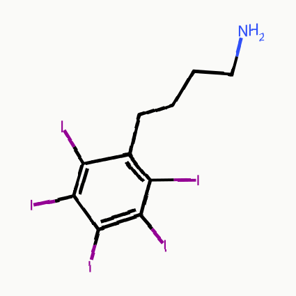 NCCCCc1c(I)c(I)c(I)c(I)c1I